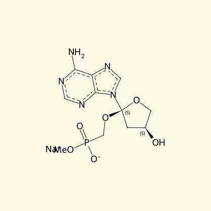 COP(=O)([O-])CO[C@]1(n2cnc3c(N)ncnc32)C[C@H](O)CO1.[Na+]